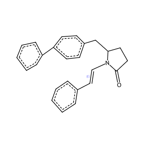 O=C1CCC(Cc2ccc(-c3ccccc3)cc2)N1/C=C/c1ccccc1